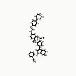 N#Cc1ccccc1Cn1cc(-c2ccc3c(c2)Nc2ccc(CCOc4ccc(N5CCOCC5)cc4)cc2NC3=O)c2ccncc21